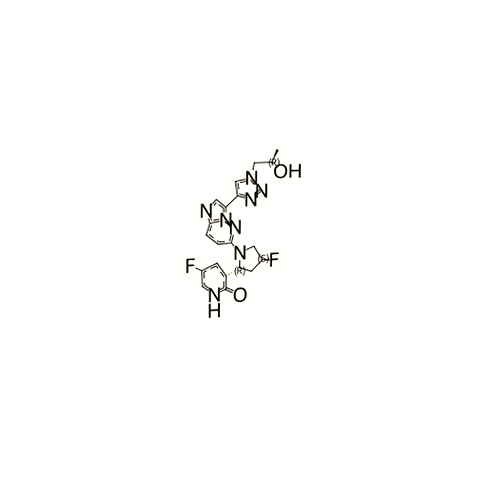 C[C@@H](O)Cn1cc(-c2cnc3ccc(N4C[C@@H](F)C[C@@H]4c4cc(F)c[nH]c4=O)nn23)nn1